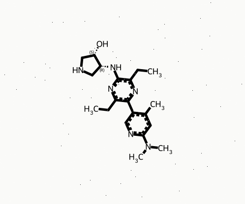 CCc1nc(-c2cnc(N(C)C)cc2C)c(CC)nc1N[C@@H]1CNC[C@@H]1O